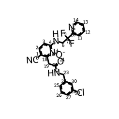 N#Cc1ccc(NCC(F)(F)c2ccccn2)[n+]([O-])c1CC(=O)NCc1cccc(Cl)c1